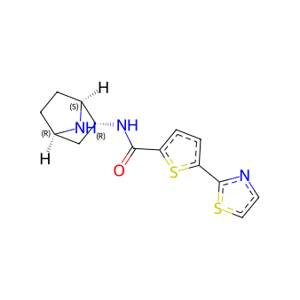 O=C(N[C@@H]1C[C@H]2CC[C@@H]1N2)c1ccc(-c2nccs2)s1